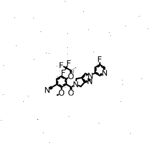 COc1c(C#N)ccc(O[C@@H](C)C(F)(F)F)c1C(=O)N1Cc2cn(-c3cncc(F)c3)nc2C1